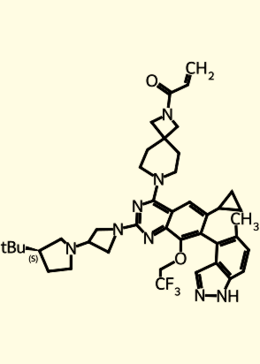 C=CC(=O)N1CC2(CCN(c3nc(N4CC(N5CC[C@@H](C(C)(C)C)C5)C4)nc4c(OCC(F)(F)F)c(-c5c(C)ccc6[nH]ncc56)c(C5CC5)cc34)CC2)C1